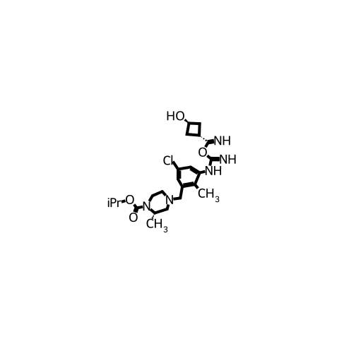 Cc1c(CN2CCN(C(=O)OC(C)C)[C@@H](C)C2)cc(Cl)cc1NC(=N)OC(=N)[C@H]1C[C@H](O)C1